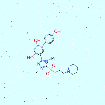 CC(C)n1c(-c2cc(-c3ccc(O)cc3)c(O)cc2O)nnc1S(=O)(=O)CCCN1CCCCC1